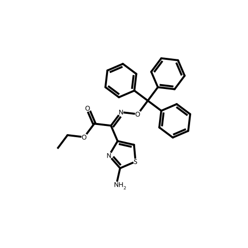 CCOC(=O)/C(=N/OC(c1ccccc1)(c1ccccc1)c1ccccc1)c1csc(N)n1